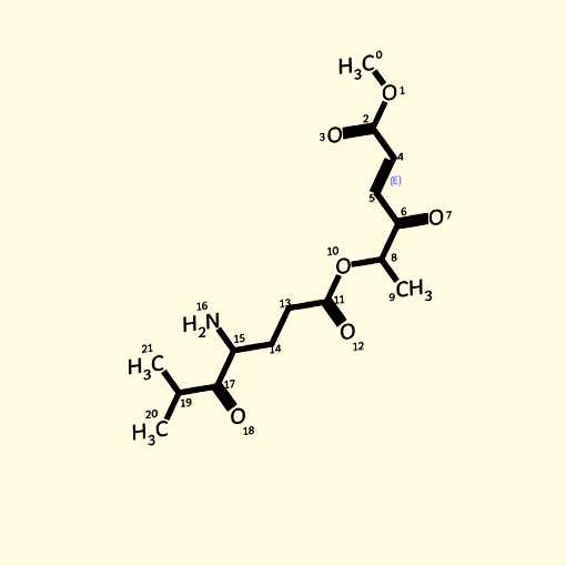 COC(=O)/C=C/C(=O)C(C)OC(=O)CCC(N)C(=O)C(C)C